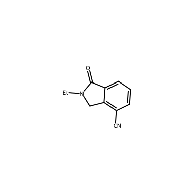 CCN1Cc2c(C#N)cccc2C1=O